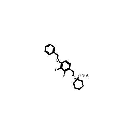 CCCCCC1(OCc2ccc(OCc3ccccc3)c(F)c2F)CCCCC1